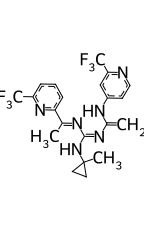 C=C(/N=C(\N=C(/C)c1cccc(C(F)(F)F)n1)NC1(C)CC1)Nc1ccnc(C(F)(F)F)c1